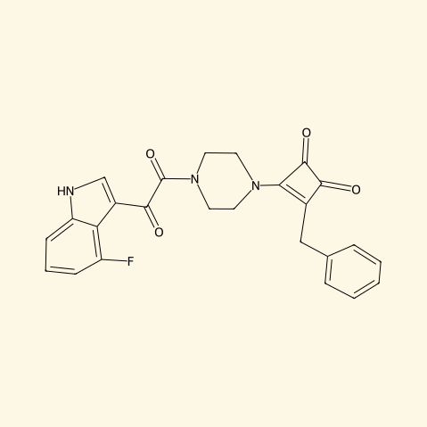 O=C(C(=O)N1CCN(c2c(Cc3ccccc3)c(=O)c2=O)CC1)c1c[nH]c2cccc(F)c12